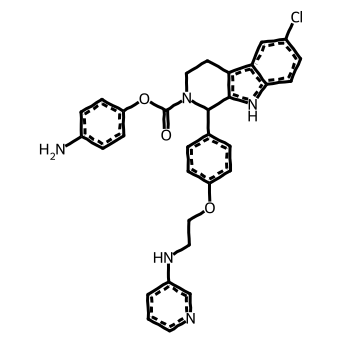 Nc1ccc(OC(=O)N2CCc3c([nH]c4ccc(Cl)cc34)C2c2ccc(OCCNc3cccnc3)cc2)cc1